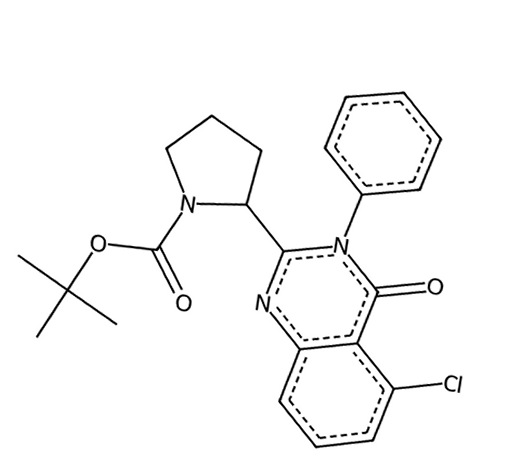 CC(C)(C)OC(=O)N1CCCC1c1nc2cccc(Cl)c2c(=O)n1-c1ccccc1